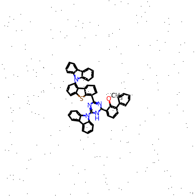 COc1c(-c2ccccc2)cccc1C1N=C(c2cccc3c2sc2cccc(-n4c5ccccc5c5ccccc54)c23)N=C(n2c3ccccc3c3ccccc32)N1